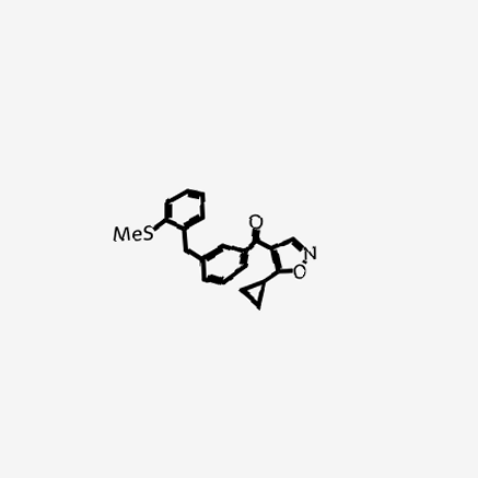 CSc1ccccc1Cc1cccc(C(=O)c2cnoc2C2CC2)c1